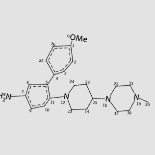 COc1ccc(-c2cc(N)ccc2N2CCC(N3CCN(C)CC3)CC2)cc1